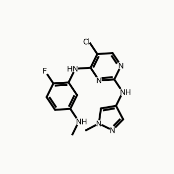 CNc1ccc(F)c(Nc2nc(Nc3cnn(C)c3)ncc2Cl)c1